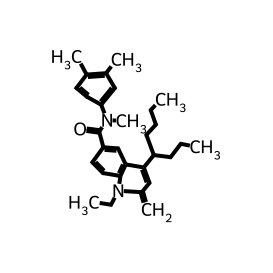 C=C1C=C(C(CCC)CCCC)c2cc(C(=O)N(C)c3ccc(C)c(C)c3)ccc2N1CC